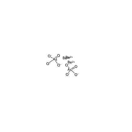 O=[As]([O-])([O-])[O-].O=[As]([O-])([O-])[O-].[Be+2].[Be+2].[Be+2]